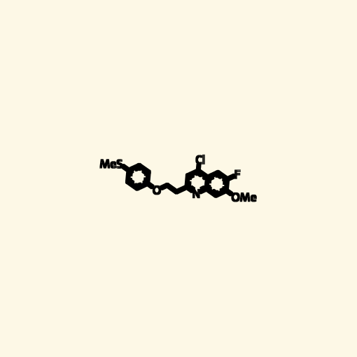 COc1cc2nc(CCOc3ccc(SC)cc3)cc(Cl)c2cc1F